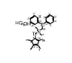 CC1=C(C)C(C)[C]([Ti][Si](C)(C)CP(c2ccccc2)c2ccccc2)=C1C.Cl.Cl